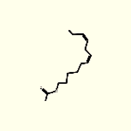 CC/C=C\C/C=C\CCCCCOC(C)=O